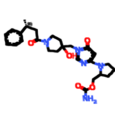 C[C@H](CC(=O)N1CCC(O)(Cn2cnc(N3CCCC3COC(N)=O)cc2=O)CC1)c1ccccc1